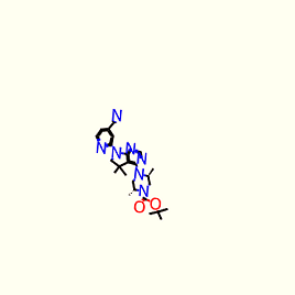 C[C@@H]1CN(c2ncnc3c2C(C)(C)CN3c2cc(C#N)ccn2)[C@@H](C)CN1C(=O)OC(C)(C)C